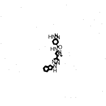 Cn1nc(NC(=O)[C@H]2CCc3[nH]nnc3C2)cc1-c1cnc(NC2Cc3ccccc3C2)nc1